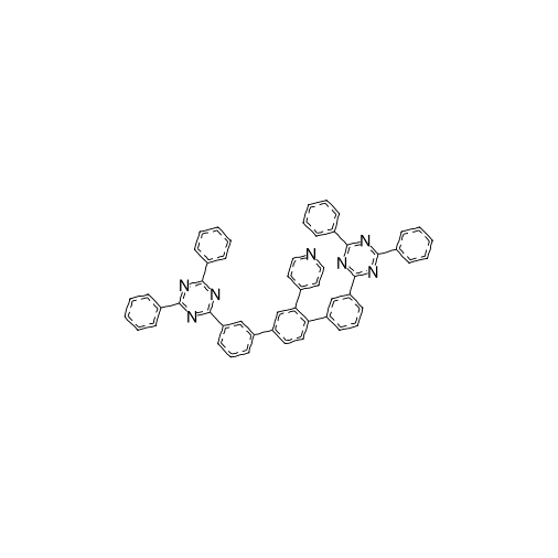 c1ccc(-c2nc(-c3ccccc3)nc(-c3cccc(-c4ccc(-c5cccc(-c6nc(-c7ccccc7)nc(-c7ccccc7)n6)c5)c(-c5ccncc5)c4)c3)n2)cc1